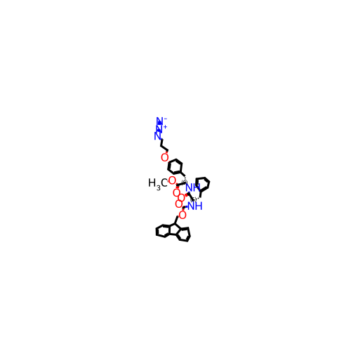 COC(=O)[C@H](Cc1ccc(OCCCN=[N+]=[N-])cc1)NC(=O)[C@H](Cc1ccccc1)NC(=O)OCC1c2ccccc2-c2ccccc21